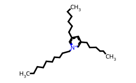 CCCCCCCCCC[n+]1cc(CCCCCC)cc(CCCCCC)c1